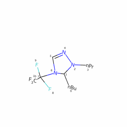 CCCCC1N(CCC)N=CN1C(F)(F)C(F)(F)F